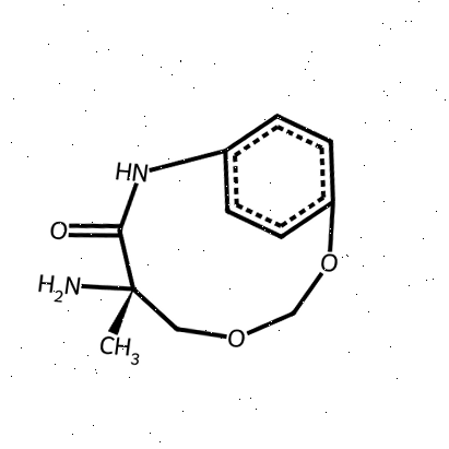 C[C@]1(N)COCOc2ccc(cc2)NC1=O